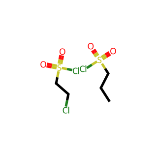 CCCS(=O)(=O)Cl.O=S(=O)(Cl)CCCl